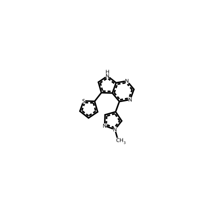 Cn1cc(-c2ncnc3[nH]cc(-c4cccs4)c23)cn1